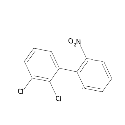 O=[N+]([O-])c1ccc[c]c1-c1cccc(Cl)c1Cl